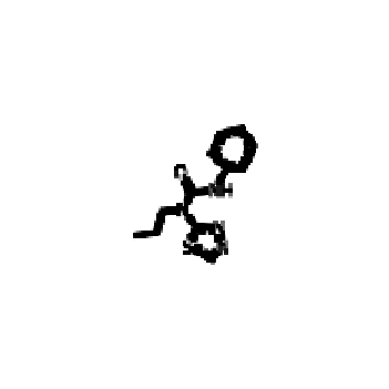 CCCN(C(=O)Nc1ccccc1)c1nncs1